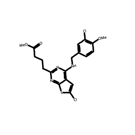 COC(=O)CCCc1nc(NCc2ccc(OC)c(Cl)c2)c2cc(Cl)sc2n1